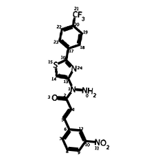 NN(C(=O)C=Cc1cccc([N+](=O)[O-])c1)c1csc(-c2ccc(C(F)(F)F)cc2)n1